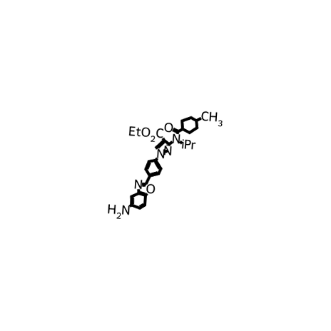 CCOC(=O)c1cn(-c2ccc(-c3nc4cc(N)ccc4o3)cc2)nc1N(C(=O)C1CCC(C)CC1)C(C)C